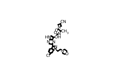 C[C@@H](NC(=O)Oc1c[nH]c2ncc(-c3nn(CCN4CCOCC4)c4cc(Cl)ccc34)nc12)C(=O)N1CC(C#N)C1